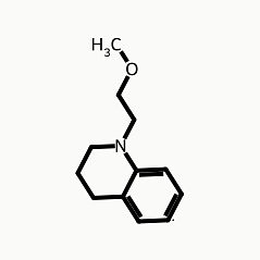 COCCN1CCCc2c[c]ccc21